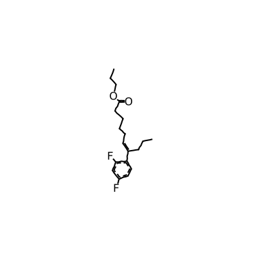 CCCOC(=O)CCCCC=C(CCC)c1ccc(F)cc1F